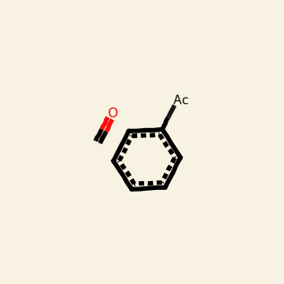 C=O.CC(=O)c1ccccc1